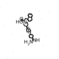 N=C(N)c1ccc(N2CCN(C3CCN(C(Cc4cccc5ccccc45)C(=O)O)CC3)CC2)cc1